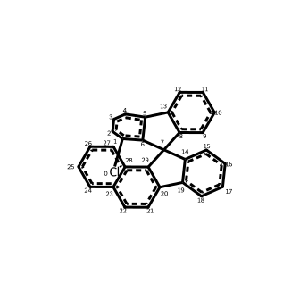 Clc1cccc2c1C1(c3ccccc3-2)c2ccccc2-c2ccc3ccccc3c21